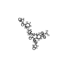 O=C(Nc1ncc(-c2cccc(OCCO)n2)s1)/C(=N/O[C@@H]1CCOC1)c1ccc(S(=O)(=O)C2CC2)cc1